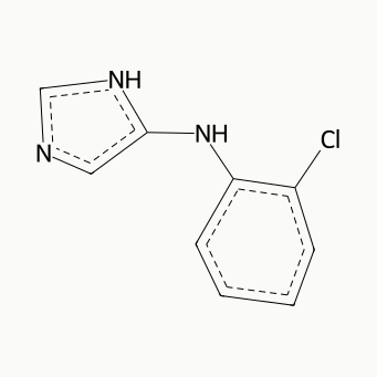 Clc1ccccc1Nc1cnc[nH]1